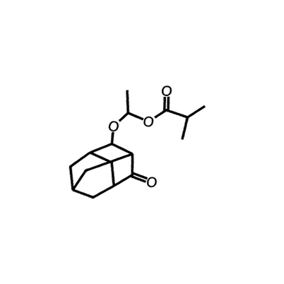 CC(OC(=O)C(C)C)OC1C2CC3CC(C2)C(=O)C1C3